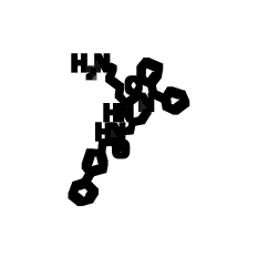 NCCCC[C@@H]1N[C@H](CNC(=O)Cc2ccc(-c3ccccc3)cc2)CCN(C(c2ccccc2)c2ccccc2)C1=O